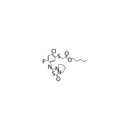 CCCCCOC(=O)CSc1cc(/N=c2/sc(=O)n3n2CCCC3)c(F)cc1Cl